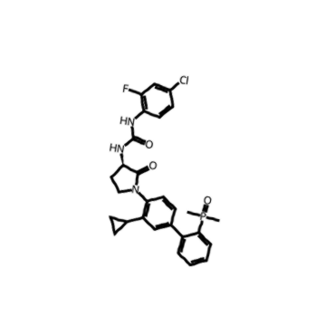 CP(C)(=O)c1ccccc1-c1ccc(N2CC[C@@H](NC(=O)Nc3ccc(Cl)cc3F)C2=O)c(C2CC2)c1